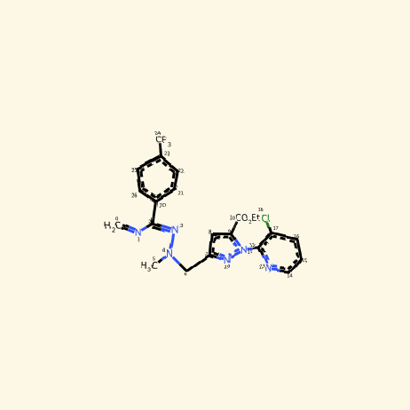 C=N/C(=N\N(C)Cc1cc(C(=O)OCC)n(-c2ncccc2Cl)n1)c1ccc(C(F)(F)F)cc1